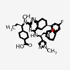 CC[C@H](C1CCC(C(=O)O)CC1)N(C)c1nc2c(c(N[C@@H](CN3C4CCC3CC4)c3cnn(C)c3)n1)C[C@H](c1cccc(F)c1)CC2